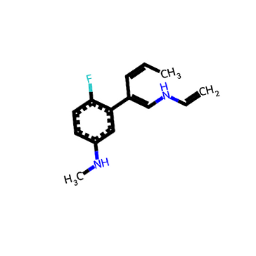 C=CN/C=C(\C=C/C)c1cc(NC)ccc1F